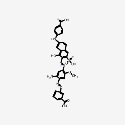 COc1cc(/N=N/c2cccc(C(=O)O)c2)c(N)cc1/N=N/c1c(S(=O)(=O)O)cc2ccc(Nc3ccc(C(=O)O)cc3)cc2c1O